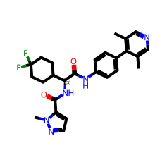 Cc1cncc(C)c1-c1ccc(NC(=O)[C@@H](NC(=O)c2ccnn2C)C2CCC(F)(F)CC2)cc1